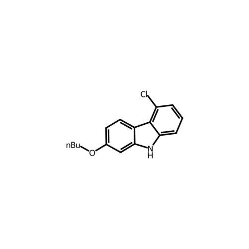 CCCCOc1ccc2c(c1)[nH]c1cccc(Cl)c12